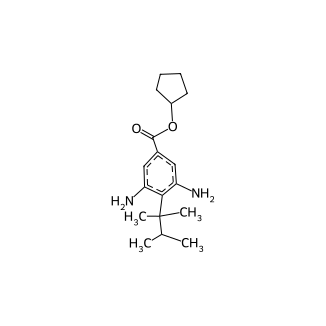 CC(C)C(C)(C)c1c(N)cc(C(=O)OC2CCCC2)cc1N